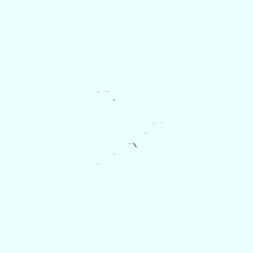 CCCCCC(SCCCC(F)(F)C(F)C(F)F)C(=O)OCCC